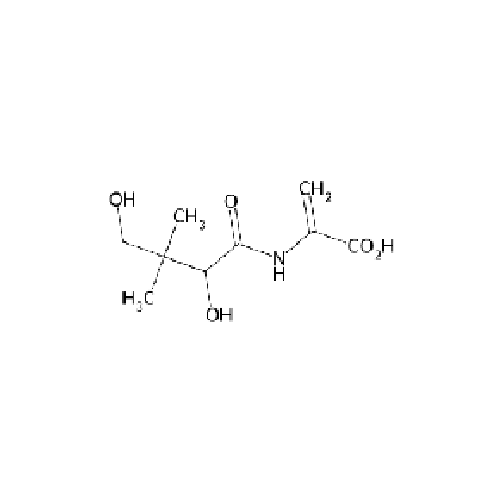 C=C(NC(=O)C(O)C(C)(C)CO)C(=O)O